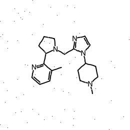 Cc1cccnc1C1CCCN1Cc1nccn1C1CCN(C)CC1